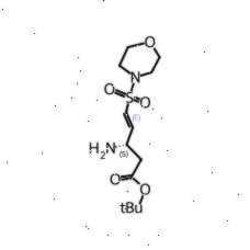 CC(C)(C)OC(=O)C[C@H](N)/C=C/S(=O)(=O)N1CCOCC1